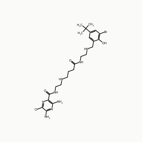 CC(C)(C)c1cc(Br)c(O)c(CNCCNC(=O)CCCNCCNC(=O)c2nc(Cl)c(N)nc2N)c1